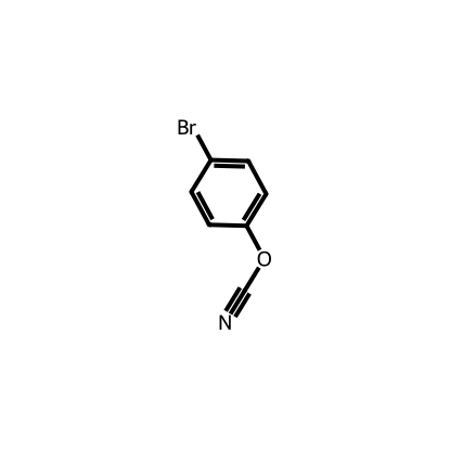 N#COc1ccc(Br)cc1